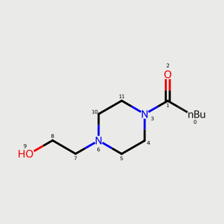 CCCCC(=O)N1CCN(CCO)CC1